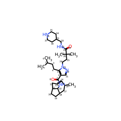 CC(C)CCc1c(C(=O)NC2C3C/C=C/C(C)CC2CC3)cnn1CCC(C)(C)C(=O)NCC1CCNCC1